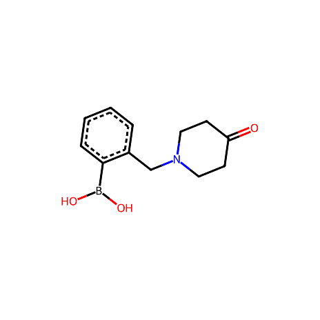 O=C1CCN(Cc2ccccc2B(O)O)CC1